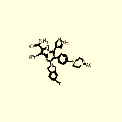 CC(=O)N1CCN(c2ccc(-c3c(N4Cc5ccc(F)cc5C4)nc4c(C(C)C)c(C(N)=O)nn4c3-c3cn[nH]c3)cc2)CC1